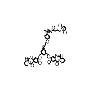 COc1cc2c(cc1OCc1cc(COc3cc4c(cc3OC)C(=O)N3CCCC[C@H]3C=N4)cc(OCCOc3ccc(/C(C)=N\NC(=O)CCCN4C(=O)C=CC4=O)cc3)c1)N=C[C@@H]1CCCCN1C2=O